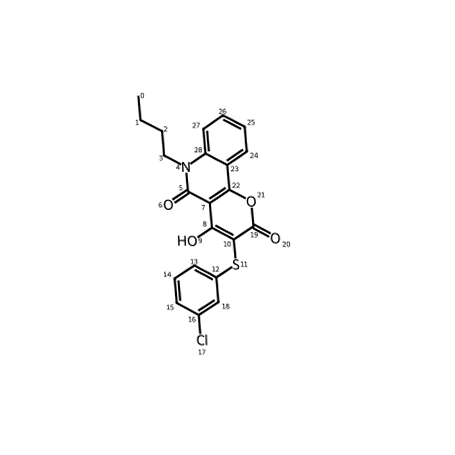 CCCCn1c(=O)c2c(O)c(Sc3cccc(Cl)c3)c(=O)oc2c2ccccc21